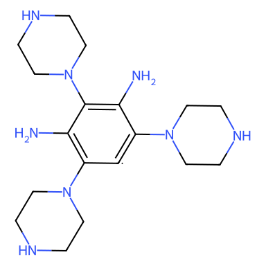 Nc1c(N2CCNCC2)[c]c(N2CCNCC2)c(N)c1N1CCNCC1